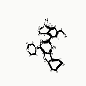 FCc1cc(-c2nc(N3CCOCC3)c3oc4ccccc4c3n2)c2cn[nH]c2c1